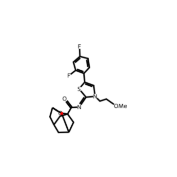 COCCn1cc(-c2ccc(F)cc2F)sc1=NC(=O)C12CC3CC(CC(C3)O1)C2